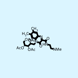 CNCCNC(=O)c1nc2cc(C)c(C)cc2n(C[C@H](OC(C)=O)[C@H](OC(C)=O)[C@@H](COC(C)=O)OC(C)=O)c1=O